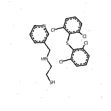 Clc1cccc(Cl)c1Sc1c(Cl)cccc1Cl.SCCNCc1cccnc1